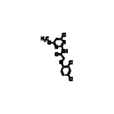 COc1cc(Cl)nc(NC(=O)COc2ccc(Cl)cc2Cl)n1